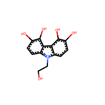 OCCn1c2ccc(O)c(O)c2c2c(O)c(O)ccc21